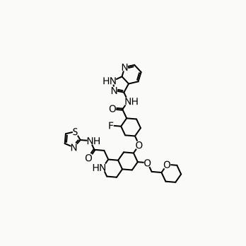 O=C(CC1NCCC2CC(OCC3CCCCO3)C(OC3CCC(C(=O)NC4=NNC5N=CC=CC45)C(F)C3)CC21)Nc1nccs1